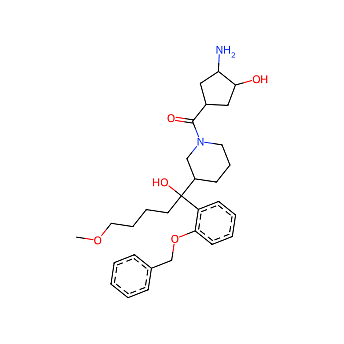 COCCCCC(O)(c1ccccc1OCc1ccccc1)C1CCCN(C(=O)C2CC(N)C(O)C2)C1